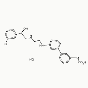 Cl.O=C(O)Oc1cccc(-c2cccc(NCCNC[C@H](O)c3cccc(Cl)c3)c2)c1